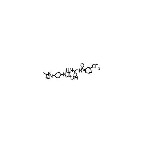 Cc1ccn(C2CCC(N3C[C@H](NC(=O)CNC(=O)c4cccc(C(F)(F)F)c4)[C@@H](O)C3)CC2)n1